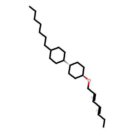 CC/C=C/C=C/CO[C@H]1CC[C@H](C2CCC(CCCCCCC)CC2)CC1